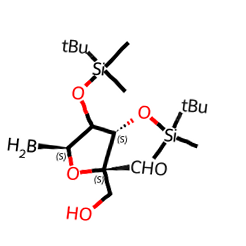 B[C@@H]1O[C@@](C=O)(CO)[C@@H](O[Si](C)(C)C(C)(C)C)C1O[Si](C)(C)C(C)(C)C